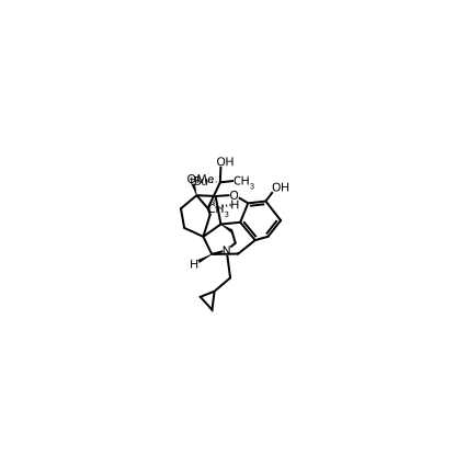 CO[C@]12CCC3(C[C@@H]1[C@](C)(O)C(C)(C)C)[C@H]1Cc4ccc(O)c5c4[C@@]3(CCN1CC1CC1)[C@]2(C)O5